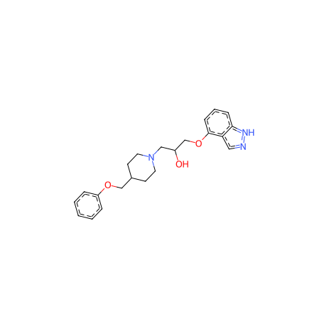 OC(COc1cccc2[nH]ncc12)CN1CCC(COc2ccccc2)CC1